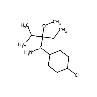 CCC(OC)(C(C)C)N(N)C1CCC(Cl)CC1